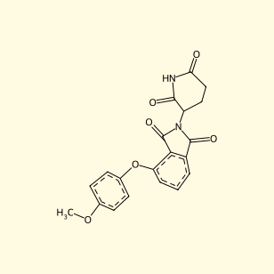 COc1ccc(Oc2cccc3c2C(=O)N(C2CCC(=O)NC2=O)C3=O)cc1